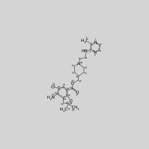 Cc1nccnc1NCCN1CCC(COC(=O)c2cc(Cl)c(N)c3c2OC(C)(C)C3)CC1